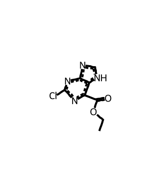 CCOC(=O)c1nc(Cl)nc2nc[nH]c12